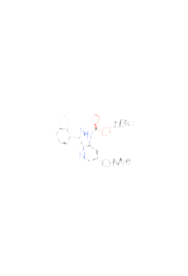 COc1cnc2c(-c3cccc4c3CCC4)nn(C(=O)OC(C)(C)C)c2c1